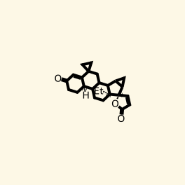 CC[C@]12CCC3C(CC4(CC4)C4=CC(=O)CC[C@@H]43)C1C1CC1[C@@]21C=CC(=O)O1